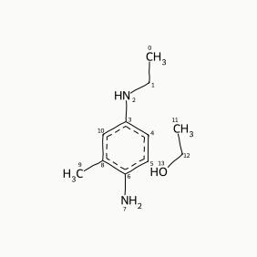 CCNc1ccc(N)c(C)c1.CCO